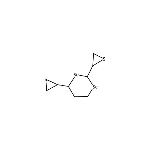 C1CC(C2CS2)[Se]C(C2CS2)[Se]1